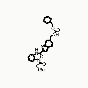 CC(C)(C)OC(=O)Nc1ccccc1NC(=O)c1cc2ccc(CNC(=O)OCc3ccccc3)cc2s1